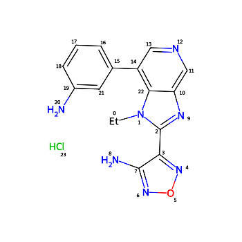 CCn1c(-c2nonc2N)nc2cncc(-c3cccc(N)c3)c21.Cl